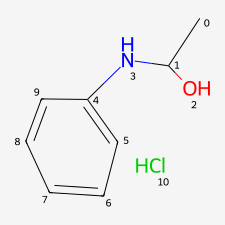 CC(O)Nc1ccccc1.Cl